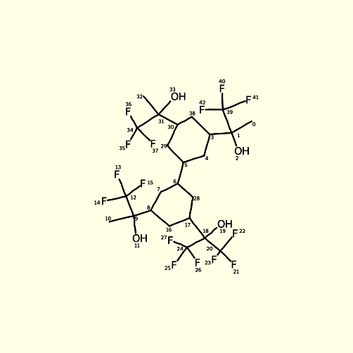 CC(O)(C1CC(C2CC(C(C)(O)C(F)(F)F)CC(C(O)(C(F)(F)F)C(F)(F)F)C2)CC(C(C)(O)C(F)(F)F)C1)C(F)(F)F